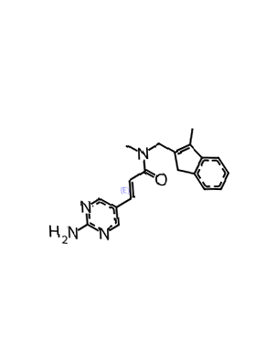 CC1=C(CN(C)C(=O)/C=C/c2cnc(N)nc2)Cc2ccccc21